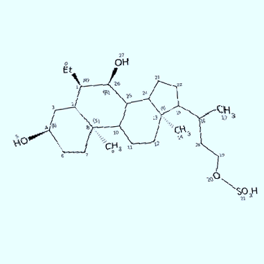 CC[C@@H]1C2C[C@H](O)CC[C@]2(C)C2CC[C@]3(C)C(C(C)CCOS(=O)(=O)O)CCC3C2[C@@H]1O